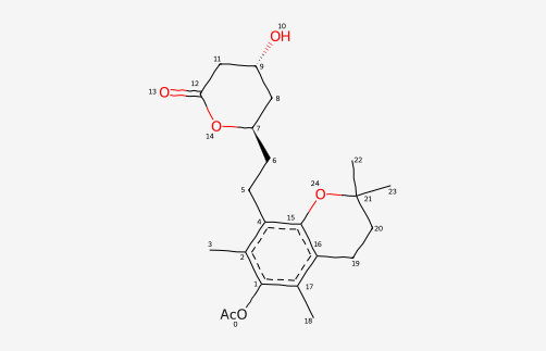 CC(=O)Oc1c(C)c(CC[C@@H]2C[C@@H](O)CC(=O)O2)c2c(c1C)CCC(C)(C)O2